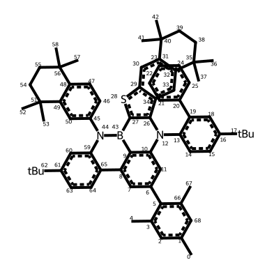 Cc1cc(C)c(-c2cc3c4c(c2)N(c2ccc(C(C)(C)C)cc2-c2ccccc2)c2c(sc5cc6c(cc25)C(C)(C)CCC6(C)C)B4N(c2ccc4c(c2)C(C)(C)CCC4(C)C)c2cc(C(C)(C)C)ccc2-3)c(C)c1